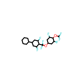 FC(F)OC1C(F)CC(OC(F)(F)C2C(F)CC(C3CCCCC3)CC2F)CC1F